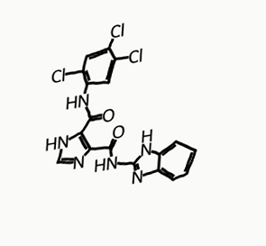 O=C(Nc1nc2ccccc2[nH]1)c1nc[nH]c1C(=O)Nc1cc(Cl)c(Cl)cc1Cl